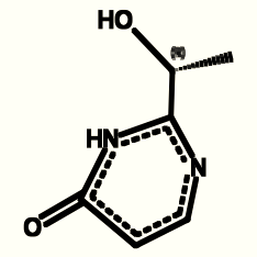 C[C@@H](O)c1nccc(=O)[nH]1